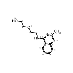 Cc1nc(NCCOCCO)c2ccccc2n1